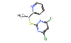 CC(Sc1nc(Cl)cc(Cl)n1)c1ccccn1